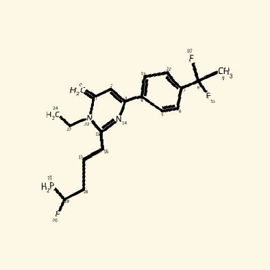 C=C1C=C(c2ccc(C(C)(F)F)cc2)N=C(CCCC(F)P)N1CC